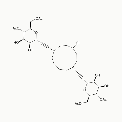 CC(=O)OC[C@H]1O[C@H](C#CC2CCCCC(C#C[C@H]3O[C@H](COC(C)=O)[C@@H](OC(C)=O)[C@H](O)[C@@H]3O)CCC(Cl)CC2)[C@@H](O)[C@@H](O)[C@@H]1OC(C)=O